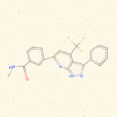 CNC(=O)c1cccc(-c2cc(C(F)(F)F)c3c(-c4ccccc4)n[nH]c3n2)c1